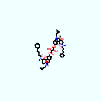 CN(C(=O)CCCc1ccccc1)C1CC[C@@]2(O)[C@H]3Cc4ccc(OC(=O)C(O)C(O)C(=O)Oc5ccc6c7c5OC5C(N(C)C(=O)CCCc8ccccc8)CC[C@@]8(O)[C@@H](C6)N(CC6CC6)CC[C@]758)c5c4[C@@]2(CCN3CC2CC2)C1O5